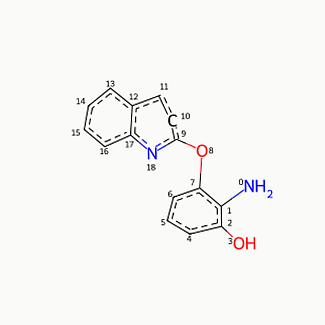 Nc1c(O)cccc1Oc1ccc2ccccc2n1